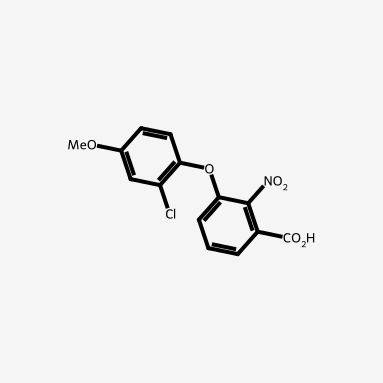 COc1ccc(Oc2cccc(C(=O)O)c2[N+](=O)[O-])c(Cl)c1